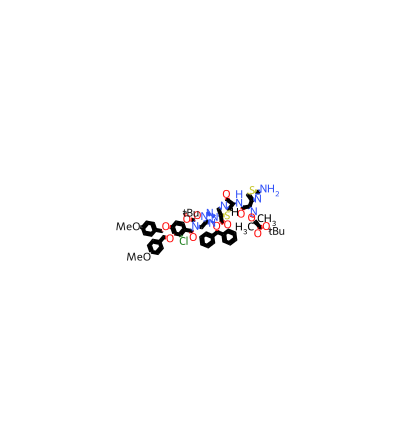 COc1ccc(COc2ccc(C(=O)N(Cc3nnn([C@]4(C(=O)OC(c5ccccc5)c5ccccc5)CN5C(=O)[C@@H](NC(=O)/C(=N\OC(C)(C)C(=O)OC(C)(C)C)c6csc(N)n6)[C@H]5S4)n3)C(=O)OC(C)(C)C)c(Cl)c2OCc2ccc(OC)cc2)cc1